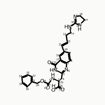 O=C(N[C@@H](Cc1nc2ccc(C=CCCNC3=NCCN3)cc2c(=O)[nH]1)C(=O)O)OCc1ccccc1